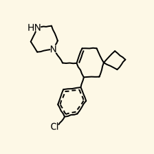 Clc1ccc(C2CC3(CC=C2CN2CCNCC2)CCC3)cc1